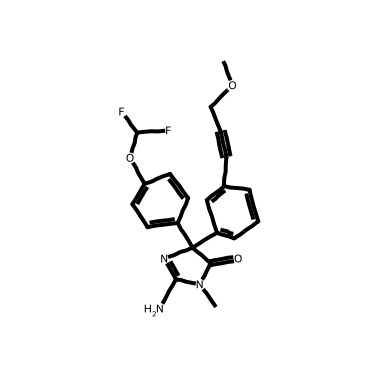 COCC#Cc1cccc(C2(c3ccc(OC(F)F)cc3)N=C(N)N(C)C2=O)c1